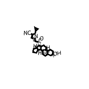 C[C@@]1(O)CC[C@H]2C(CCC3C4[C@@H]5CCC[C@@H]5[C@H](C(=C=O)Cn5cc(C#N)c(C6CC6)n5)[C@@]4(C)CC[C@@H]32)C1